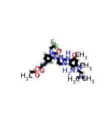 C=CC(=O)OC(=O)/C=C/c1ccc2c(c1)n(-c1ccnc(Nc3cc(N)c(N(C)CCN(C)C)cc3OC)n1)c(=O)n2CC(F)F